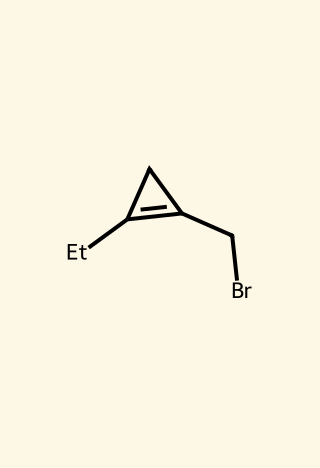 CCC1=C(CBr)C1